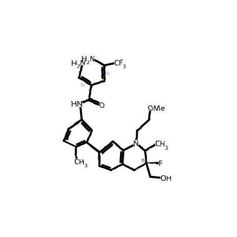 COCCN1c2cc(-c3cc(NC(=O)C(/C=C(\N)C(F)(F)F)=C/N)ccc3C)ccc2C[C@@](F)(CO)C1C